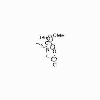 C=CCCCCN1CCCCc2cc(Cl)ccc2COc2ccc([C@H](CC(=O)OC)C(=O)OC(C)(C)C)cc21